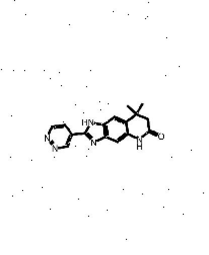 CC1(C)CC(=O)Nc2cc3nc(-c4ccnnc4)[nH]c3cc21